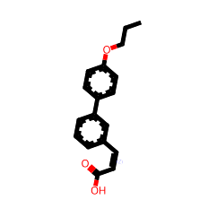 CCCOc1ccc(-c2cccc(/C=C\C(=O)O)c2)cc1